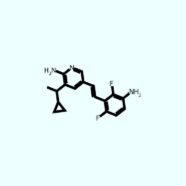 CC(c1cc(C=Cc2c(F)ccc(N)c2F)cnc1N)C1CC1